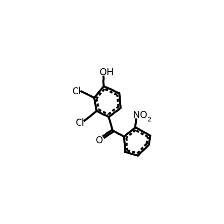 O=C(c1ccccc1[N+](=O)[O-])c1ccc(O)c(Cl)c1Cl